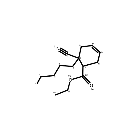 CCCCCC1(C#N)CC=CCC1C(=O)OCC